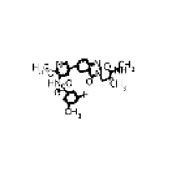 CNC(=O)[C@H](C)Cn1cnc2ccc(-c3cnc(OC)c(NS(=O)(=O)c4cc(C)cc(F)c4)c3)cc2c1=O